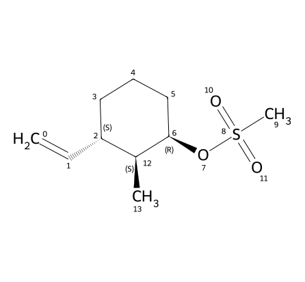 C=C[C@@H]1CCC[C@@H](OS(C)(=O)=O)[C@H]1C